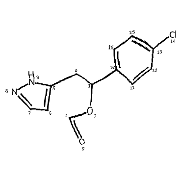 O=COC(Cc1ccn[nH]1)c1ccc(Cl)cc1